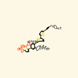 CCCCCCCCC#Cc1ccc(-c2ccc(-c3cc(OCCCCCC)c(-c4ccc(O[PH](=O)O)s4)cc3OC)s2)s1